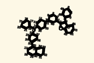 c1ccc(-c2c(-c3cccc(-c4ccc(N(c5ccccc5)c5ccc(-c6cccc7ccccc67)cc5)cc4)c3)oc3ccccc23)cc1